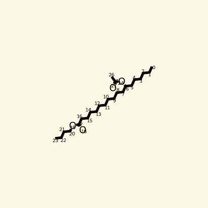 CCCCCCC(CCCCCCCCCCC(=O)OCCCC)OC(C)=O